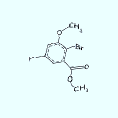 COC(=O)c1cc(I)cc(OC)c1Br